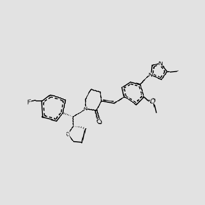 COc1cc(C=C2CCCN([C@@H](c3ccc(F)cc3)[C@@H]3CCCO3)C2=O)ccc1-n1cnc(C)c1